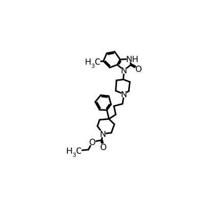 CCOC(=O)N1CCC(CCCN2CCC(n3c(=O)[nH]c4ccc(C)cc43)CC2)(c2ccccc2)CC1